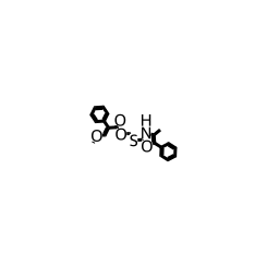 COC=C(C(=O)OCSC1NC(C)=C(c2ccccc2)O1)c1ccccc1